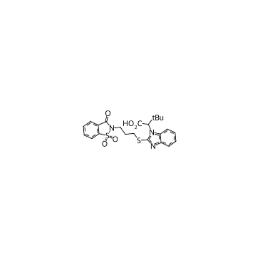 CC(C)(C)C(C(=O)O)n1c(SCCCN2C(=O)c3ccccc3S2(=O)=O)nc2ccccc21